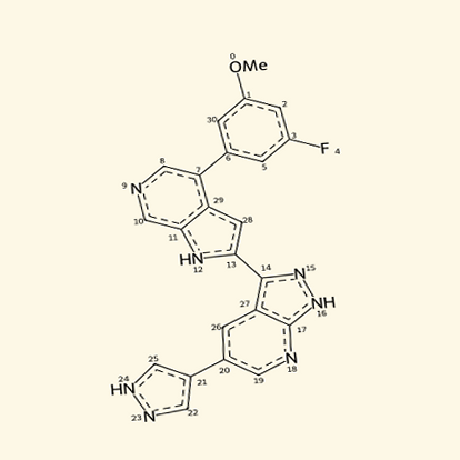 COc1cc(F)cc(-c2cncc3[nH]c(-c4n[nH]c5ncc(-c6cn[nH]c6)cc45)cc23)c1